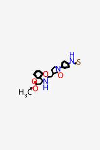 CCOC(=O)CC(NC(=O)CC1CCN(c2ccc(NC=S)cc2)C1=O)c1ccccc1